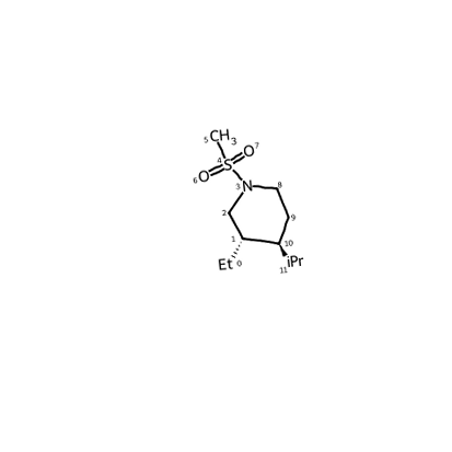 CC[C@@H]1CN(S(C)(=O)=O)CC[C@H]1C(C)C